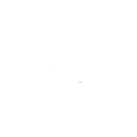 COCOC(c1nccs1)C1CCCN(c2ncnc3cc(N4CCOCC4)ccc23)C1